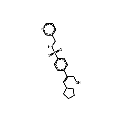 O=S(=O)(NCc1cccnc1)c1ccc(C(=CC2CCCC2)CO)cc1